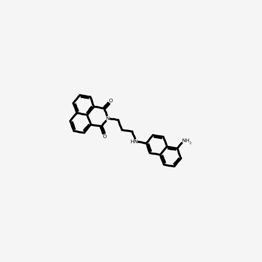 Nc1cccc2cc(NCCCN3C(=O)c4cccc5cccc(c45)C3=O)ccc12